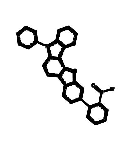 O=[N+]([O-])c1ccccc1-c1ccc2c(c1)oc1c2ccc2c1c1ccccc1n2-c1ccccc1